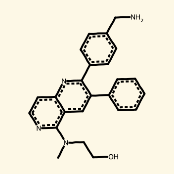 CN(CCO)c1nccc2nc(-c3ccc(CN)cc3)c(-c3ccccc3)cc12